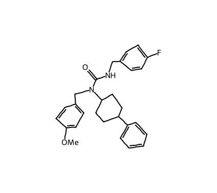 COc1ccc(CN(C(=O)NCc2ccc(F)cc2)C2CCC(c3ccccc3)CC2)cc1